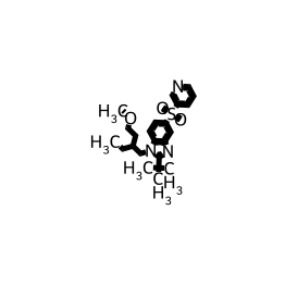 CCC(CCOC)Cn1c(C(C)(C)C)nc2cc(S(=O)(=O)c3cccnc3)ccc21